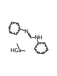 C(=N\c1ccccc1)/Nc1ccccc1.[CH3][GaH][CH3]